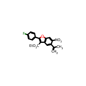 C=C(C)c1cc2c(C(=O)OCC)c(-c3ccc(F)cc3)oc2cc1[N+](=O)[O-]